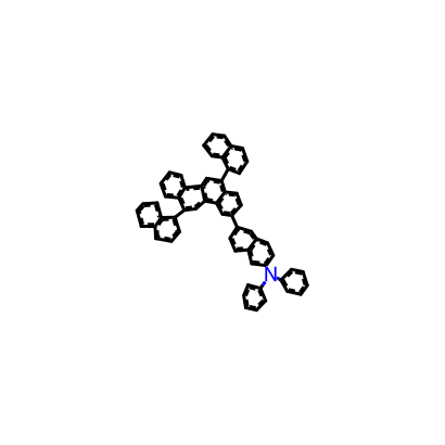 c1ccc(N(c2ccccc2)c2ccc3cc(-c4ccc5c(-c6cccc7ccccc67)cc6c7ccccc7c(-c7cccc8ccccc78)cc6c5c4)ccc3c2)cc1